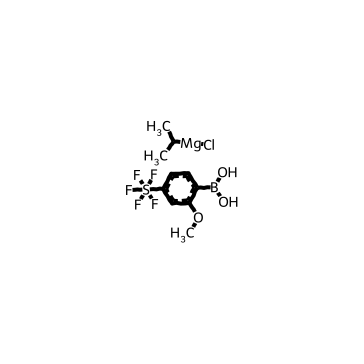 COc1cc(S(F)(F)(F)(F)F)ccc1B(O)O.C[CH](C)[Mg][Cl]